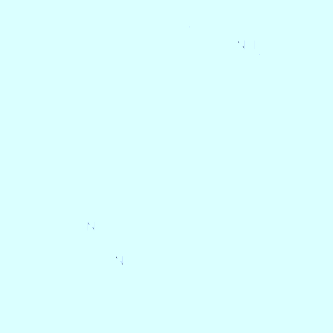 CC(CN)CCCCCCCCC(N)N1CCCCC1